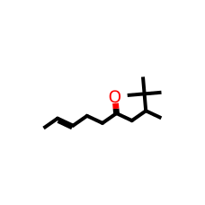 CC=CCCC(=O)CC(C)C(C)(C)C